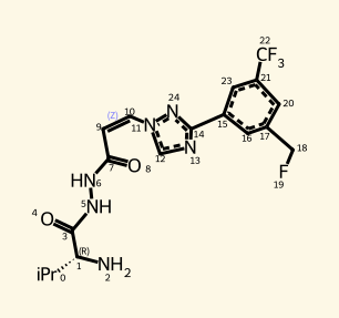 CC(C)[C@@H](N)C(=O)NNC(=O)/C=C\n1cnc(-c2cc(CF)cc(C(F)(F)F)c2)n1